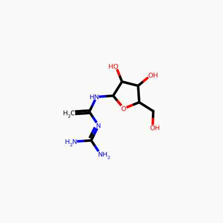 C=C(N=C(N)N)NC1OC(CO)C(O)C1O